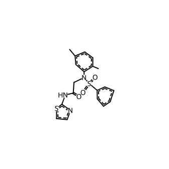 Cc1ccc(C)c(N(CC(=O)Nc2nccs2)S(=O)(=O)c2ccccc2)c1